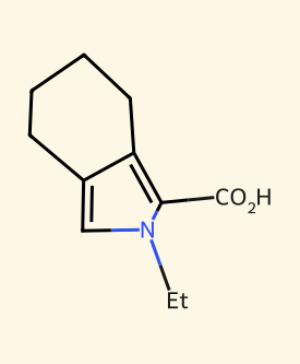 CCn1cc2c(c1C(=O)O)CCCC2